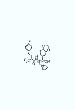 O=C(N[C@H](CN1CCCC1)[C@H](O)c1ccc2c(c1)OCCO2)C(CCc1ccc(F)cc1)C(F)(F)F